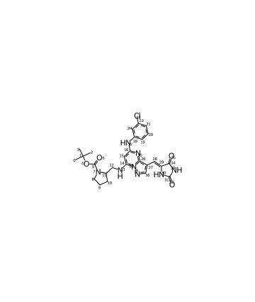 CC(C)(C)OC(=O)N1CCCC1CNc1cc(Nc2cccc(Cl)c2)nc2c(/C=C3\NC(=O)NC3=O)cnn12